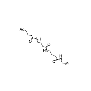 CC(=O)CCCC(=O)NCCCC(=O)NCCCC(=O)NCC(C)C